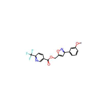 COc1cccc(-c2cc(COC(=O)c3ccc(C(F)(F)F)nc3)on2)c1